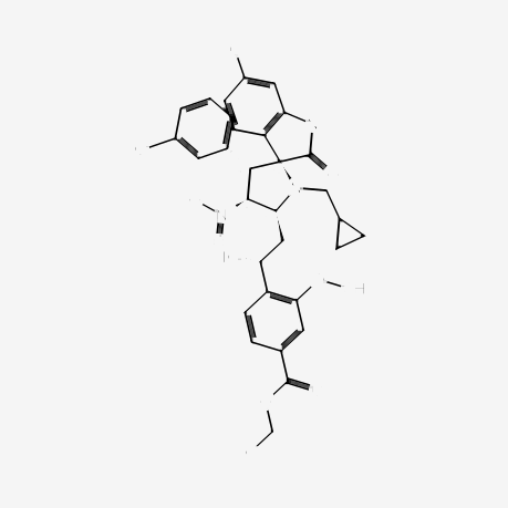 CCOC(=O)c1ccc([C@H](O)C[C@H]2[C@@H]([N+](=O)[O-])[C@H](c3cccc(Cl)c3)[C@]3(C(=O)Nc4cc(Cl)ccc43)N2CC2CC2)c(OC)c1